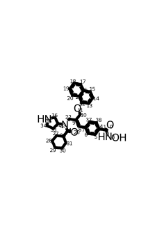 O=C(NO)c1ccc(/C=C(\COc2cccc3ccccc23)CN(C(=O)C2CCCCC2)C2CCNC2)cc1